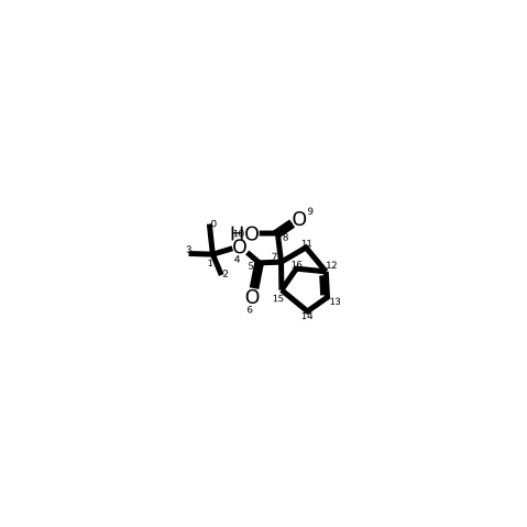 CC(C)(C)OC(=O)C1(C(=O)O)CC2=CCC1C2